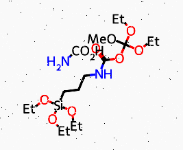 CCOC(OC)(OCC)OC(=O)NCCC[Si](OCC)(OCC)OCC.NC(=O)O